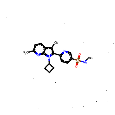 Cc1ccc2c(C#N)c(-c3ccc(S(=O)(=O)NC(C)(C)C)cn3)n(C3CCC3)c2n1